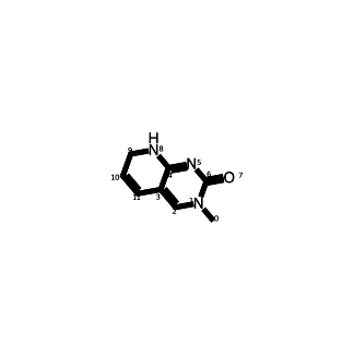 Cn1cc2c(nc1=O)NCC=C2